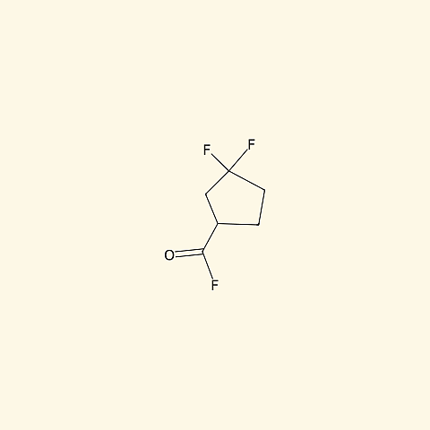 O=C(F)C1CCC(F)(F)C1